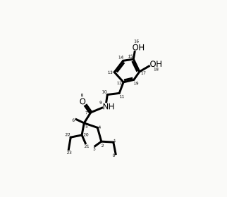 CCC(C)CC(C)(C(=O)NCCc1ccc(O)c(O)c1)C(C)CC